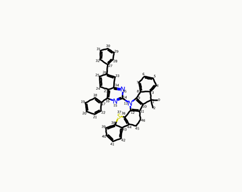 CC1(C)c2ccccc2-c2c1c1c(n2-c2nc(-c3ccccc3)c3ccc(-c4ccccc4)cc3n2)-c2sc3ccccc3c2CC1